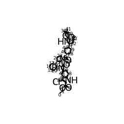 CCOC(=O)c1[nH]c2ccc(NC(=O)[C@@H]3[C@H](C4CCCCC4)CCN3C(=O)[C@H]3CC[C@H](C(CF)NC(=O)OC(C)(C)C)CC3)cc2c1Cl